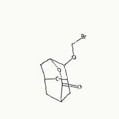 O=C1OC2CC3CC1CC(C3)C2OCBr